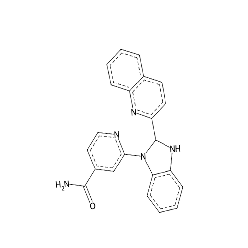 NC(=O)c1ccnc(N2c3ccccc3NC2c2ccc3ccccc3n2)c1